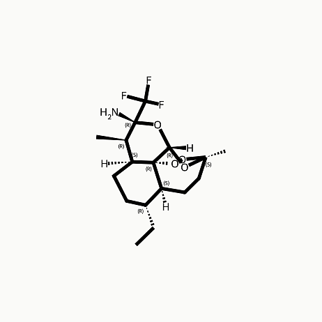 CC[C@@H]1CC[C@H]2[C@@H](C)[C@](N)(C(F)(F)F)O[C@@H]3O[C@]4(C)CC[C@@H]1[C@]32OO4